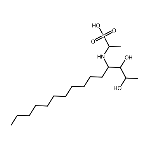 CCCCCCCCCCCC(NC(C)S(=O)(=O)O)C(O)C(C)O